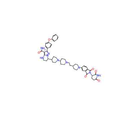 NC(=O)c1c(-c2ccc(Oc3ccccc3)cc2)nn2c1NCCC2C1CCN(C2CCN(CCC3CCN(c4ccc5c(c4)C(=O)N(C4CCC(=O)NC4=O)C5=O)CC3)CC2)CC1